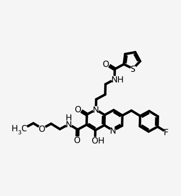 CCOCCNC(=O)c1c(O)c2ncc(Cc3ccc(F)cc3)cc2n(CCCNC(=O)c2cccs2)c1=O